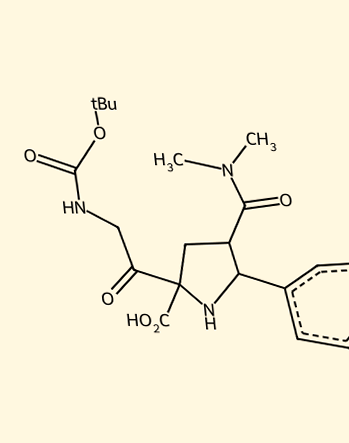 CN(C)C(=O)C1CC(C(=O)O)(C(=O)CNC(=O)OC(C)(C)C)NC1c1ccccc1